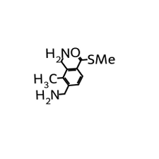 CSC(=O)c1ccc(CN)c(C)c1CN